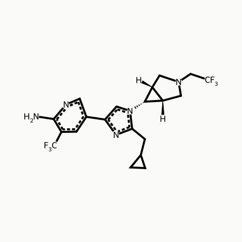 Nc1ncc(-c2cn([C@@H]3[C@@H]4CN(CC(F)(F)F)C[C@@H]43)c(CC3CC3)n2)cc1C(F)(F)F